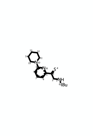 CC(C)(C)NCC(=S)c1cccc(N2CCCCC2)n1